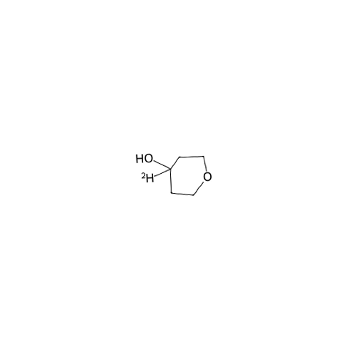 [2H]C1(O)CCOCC1